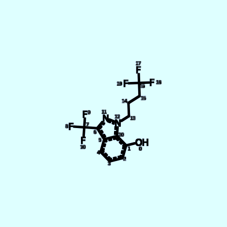 Oc1cccc2c(C(F)(F)F)nn(CCCC(F)(F)F)c12